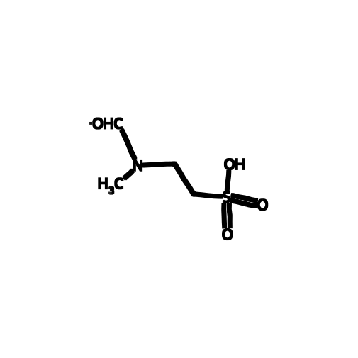 CN([C]=O)CCS(=O)(=O)O